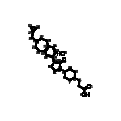 Cl.O=C(O)CC[C@H]1CC[C@H](N2CCN(c3ccc4c(c3)CCN(CC3CC3)CC4)C2=O)CC1